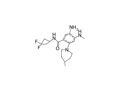 CNc1cc(N2CCC(C)CC2)c(C(=O)NC2CC(F)(F)C2)cc1N